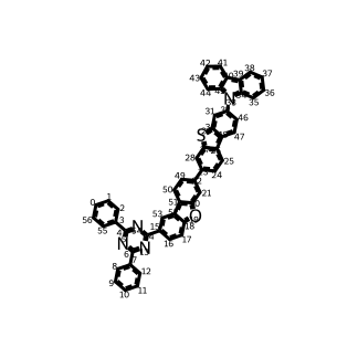 c1ccc(-c2nc(-c3ccccc3)nc(-c3ccc4oc5cc(-c6ccc7c(c6)sc6cc(-n8c9ccccc9c9ccccc98)ccc67)ccc5c4c3)n2)cc1